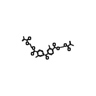 C=C(C)C(=O)OCCOC(=O)c1ccc(C(=O)c2ccc(C(=O)OCCOC(=O)C(=C)C)c(C)c2)cc1C